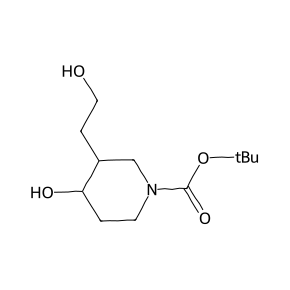 CC(C)(C)OC(=O)N1CCC(O)C(CCO)C1